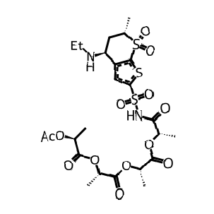 CCN[C@H]1C[C@H](C)S(=O)(=O)c2sc(S(=O)(=O)NC(=O)[C@H](C)OC(=O)[C@H](C)OC(=O)[C@H](C)OC(=O)[C@H](C)OC(C)=O)cc21